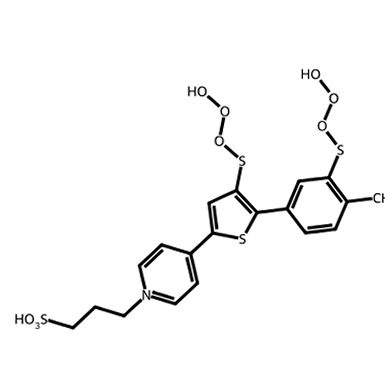 Cc1ccc(-c2sc(-c3cc[n+](CCCS(=O)(=O)O)cc3)cc2SOOO)cc1SOOO